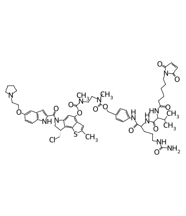 Cc1cc2c(OC(=O)N(C)CCN(C)C(=O)OCc3ccc(NC(=O)C(CCCNC(N)=O)NC(=O)C(NC(=O)CCCCCN4C(=O)C=CC4=O)C(C)C)cc3)cc3c(c2s1)[C@H](CCl)CN3C(=O)c1cc2cc(OCCN3CCCC3)ccc2[nH]1